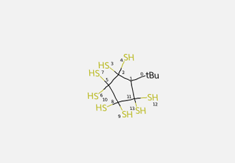 CC(C)(C)C1C(S)(S)C(S)(S)C(S)(S)C1(S)S